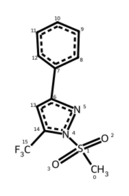 CS(=O)(=O)n1nc(-c2ccccc2)cc1C(F)(F)F